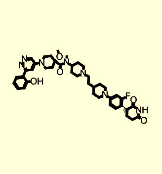 COC1(C(=O)N(C)C2CCN(CCC3CCN(c4ccc([C@H]5CCC(=O)NC5=O)c(F)c4)CC3)CC2)CCN(c2cnnc(-c3ccccc3O)c2)CC1